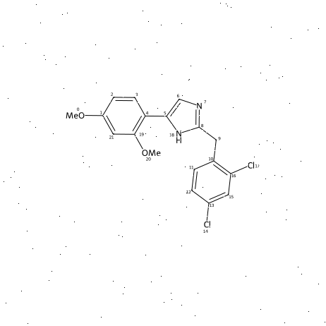 COc1ccc(-c2cnc(Cc3ccc(Cl)cc3Cl)[nH]2)c(OC)c1